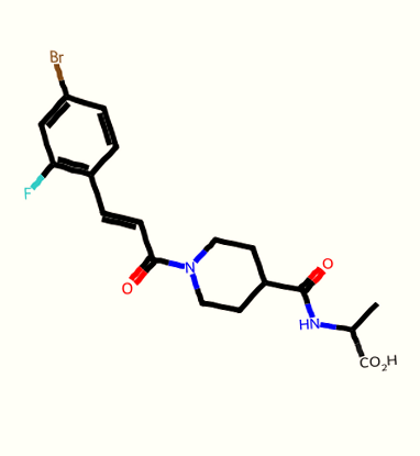 CC(NC(=O)C1CCN(C(=O)C=Cc2ccc(Br)cc2F)CC1)C(=O)O